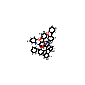 c1ccc(N(c2ccccc2)c2ccc(N(c3ccc4c(c3)oc3ccccc34)c3cccc4c3C3(c5ccccc5Oc5ccccc53)c3ccccc3-4)c3c2oc2ccccc23)cc1